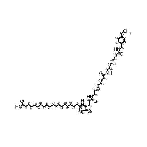 CCc1ccc(CNC(=O)COCCOCCNC(=O)COCCOCCNC(=O)CC[C@H](NC(=O)CCCCCCCCCCCCCCCCCCC(=O)O)C(=O)O)cc1